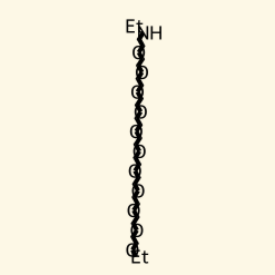 CCNCCOCCOCCOCCOCCOCCOCCOCCOCCOCCOCCOCC